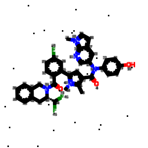 Cc1c(C(=O)N(c2ccc(O)cc2)c2cnc3c(ccn3C)c2)cc(-c2cc(F)ccc2C(=O)N2Cc3ccccc3C[C@H]2C(F)F)n1C